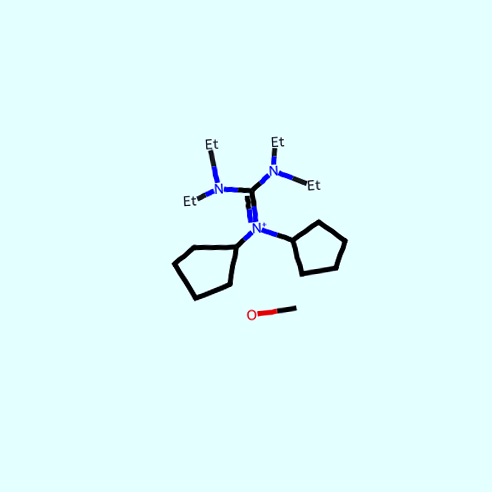 CCN(CC)C(N(CC)CC)=[N+](C1CCCC1)C1CCCC1.C[O-]